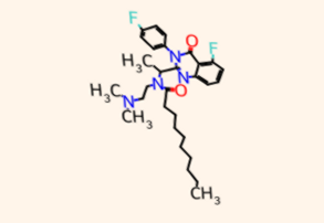 CCCCCCCCCC(=O)N(CCN(C)C)C(C)c1nc2cccc(F)c2c(=O)n1-c1ccc(F)cc1